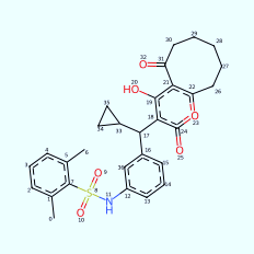 Cc1cccc(C)c1S(=O)(=O)Nc1cccc(C(c2c(O)c3c(oc2=O)CCCCCC3=O)C2CC2)c1